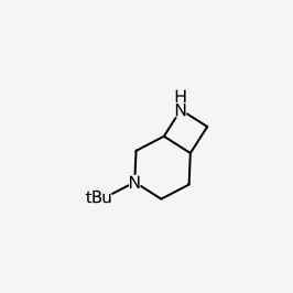 CC(C)(C)N1CCC2CNC2C1